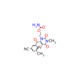 Cc1cc(C#N)cc(C(=O)c2c(C(C)C)c(=O)n(C)c(=O)n2CCOC(N)=O)c1